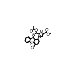 COC(=O)c1cn2c(n1)C(OC(C)=O)N=C(c1ccccc1F)c1cc(Cl)ccc1-2